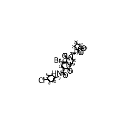 O=C(NCc1ccc(Cl)cc1)c1cc(Br)c2n(c1=O)CCN(CCN1CCCS1(=O)=O)C2=O